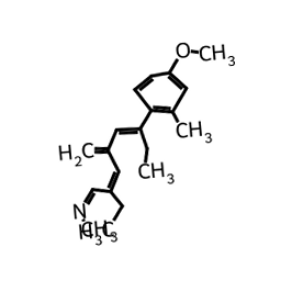 C=C(/C=C(\C=N/C)CC)/C=C(\CC)c1ccc(OC)cc1C